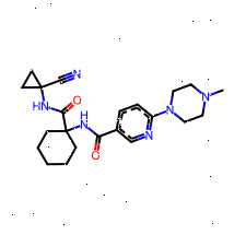 CN1CCN(c2ccc(C(=O)NC3(C(=O)NC4(C#N)CC4)CCCCC3)cn2)CC1